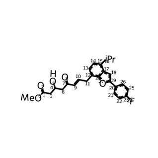 COC(=O)CC(O)CC(=O)C=CCc1ccc(C(C)C)c2cc(-c3ccc(F)cc3)oc12